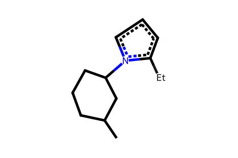 CCc1cccn1C1CCCC(C)C1